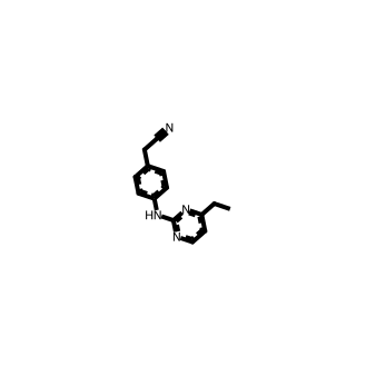 CCc1ccnc(Nc2ccc(CC#N)cc2)n1